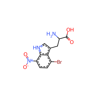 NC(Cc1c[nH]c2c([N+](=O)[O-])ccc(Br)c12)C(=O)O